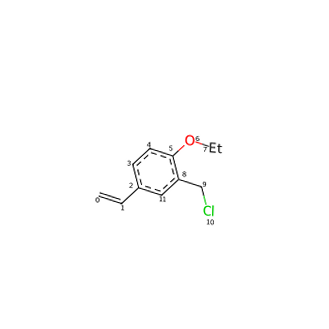 C=Cc1ccc(OCC)c(CCl)c1